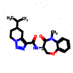 CC(C1CCn2nnc(C(=O)N[C@H]3COc4ccccc4N(C)C3=O)c2C1)C(F)(F)F